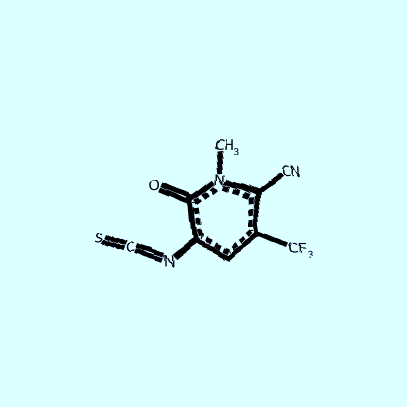 Cn1c(C#N)c(C(F)(F)F)cc(N=C=S)c1=O